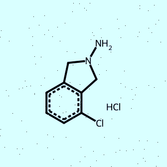 Cl.NN1Cc2cccc(Cl)c2C1